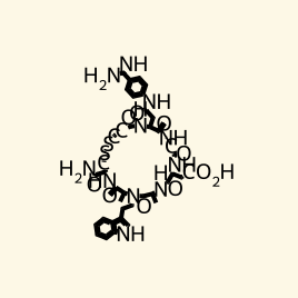 CC1NC(=O)C(CC(=O)O)NC(=O)CNC(=O)C(CC(=O)Nc2ccc(C(=N)N)cc2)NC(=O)CCSSCC(C(N)=O)NC(=O)C(C)N(CCc2c[nH]c3ccccc23)C1=O